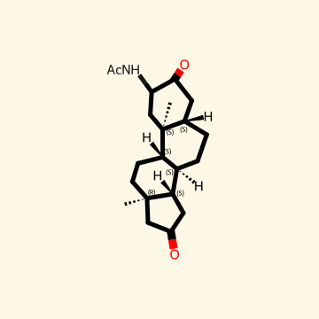 CC(=O)NC1C[C@@]2(C)[C@@H](CC[C@H]3[C@@H]4CC(=O)C[C@@]4(C)CC[C@@H]32)CC1=O